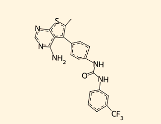 Cc1sc2ncnc(N)c2c1-c1ccc(NC(=O)Nc2cccc(C(F)(F)F)c2)cc1